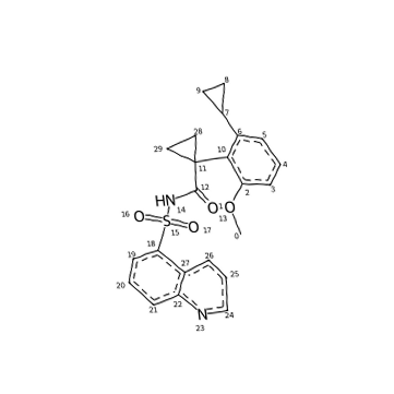 COc1cccc(C2CC2)c1C1(C(=O)NS(=O)(=O)c2cccc3ncccc23)CC1